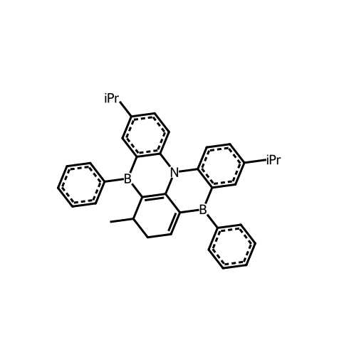 CC1CC=C2B(c3ccccc3)c3cc(C(C)C)ccc3N3C2=C1B(c1ccccc1)c1cc(C(C)C)ccc13